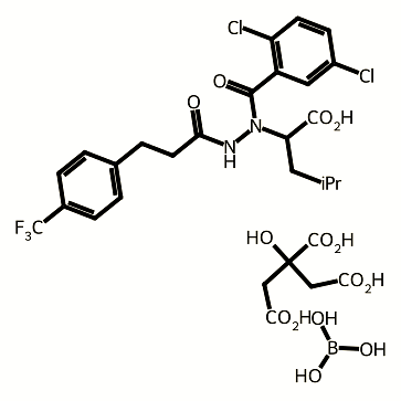 CC(C)CC(C(=O)O)N(NC(=O)CCc1ccc(C(F)(F)F)cc1)C(=O)c1cc(Cl)ccc1Cl.O=C(O)CC(O)(CC(=O)O)C(=O)O.OB(O)O